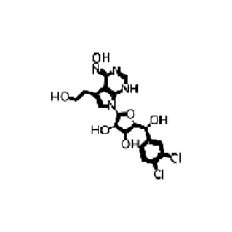 OCCc1cn([C@@H]2O[C@H]([C@H](O)c3ccc(Cl)c(Cl)c3)[C@@H](O)[C@H]2O)c2[nH]cn/c(=N\O)c12